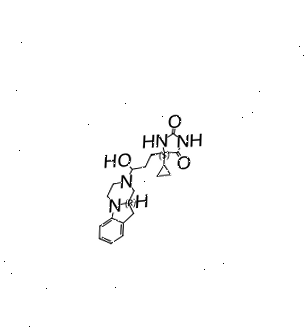 O=C1NC(=O)[C@](CCC(O)N2CCN3c4ccccc4C[C@@H]3C2)(C2CC2)N1